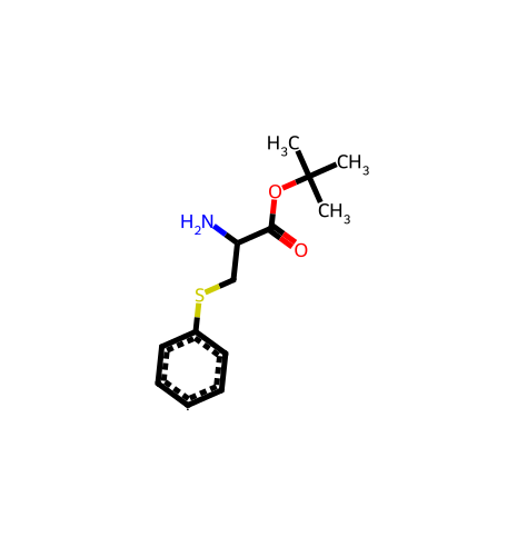 CC(C)(C)OC(=O)C(N)CSc1cc[c]cc1